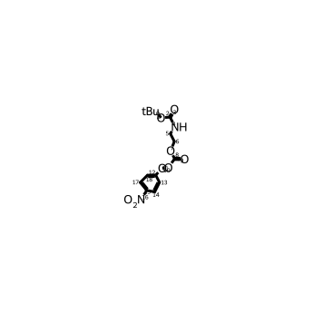 CC(C)(C)OC(=O)NCCOC(=O)OOc1ccc([N+](=O)[O-])cc1